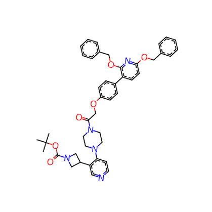 CC(C)(C)OC(=O)N1CC(c2cnccc2N2CCN(C(=O)COc3ccc(-c4ccc(OCc5ccccc5)nc4OCc4ccccc4)cc3)CC2)C1